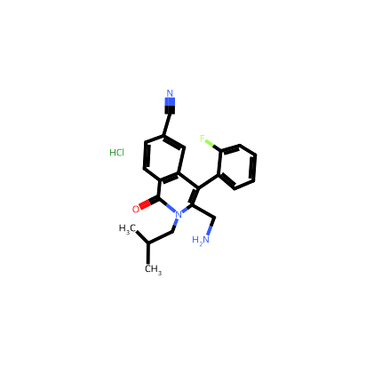 CC(C)Cn1c(CN)c(-c2ccccc2F)c2cc(C#N)ccc2c1=O.Cl